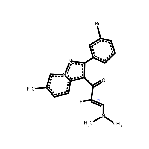 CN(C)/C=C(\F)C(=O)c1c(-c2cccc(Br)c2)nn2cc(C(F)(F)F)ccc12